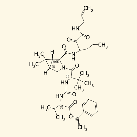 C=CCNC(=O)C(=O)C(CCC)NC(=O)[C@@H]1[C@@H]2[C@H](CN1C(=O)[C@@H](NC(=O)N[C@H](C(=O)O[C@H](C)c1ccccc1)C(C)C)C(C)(C)C)C2(C)C